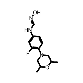 CC1CN(c2ccc(N/C=N/O)cc2F)CC(C)O1